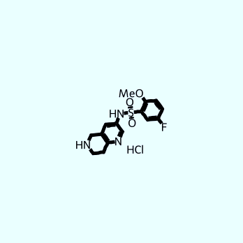 COc1ccc(F)cc1S(=O)(=O)Nc1cnc2c(c1)CNCC2.Cl